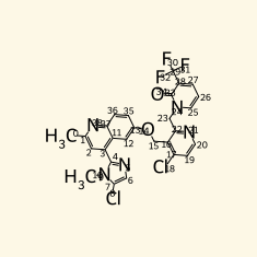 Cc1cc(-c2ncc(Cl)n2C)c2cc(OCc3c(Cl)ccnc3Cn3cccc(C(F)(F)F)c3=O)ccc2n1